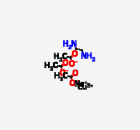 CC(=O)[O-].CC(=O)[O-].CC(=O)[O-].NCCN.[Cu+2].[Na+]